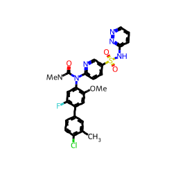 CNC(=O)N(c1ccc(S(=O)(=O)Nc2cccnn2)cn1)c1cc(F)c(-c2ccc(Cl)c(C)c2)cc1OC